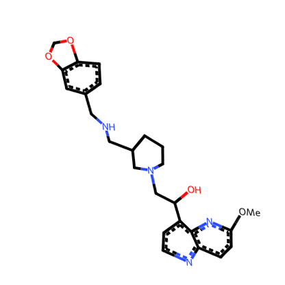 COc1ccc2nccc(C(O)CN3CCCC(CNCc4ccc5c(c4)OCO5)C3)c2n1